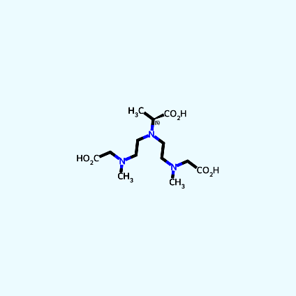 C[C@@H](C(=O)O)N(CCN(C)CC(=O)O)CCN(C)CC(=O)O